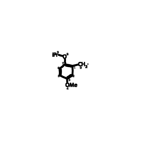 [CH2]c1cc(OC)ccc1OC(C)C